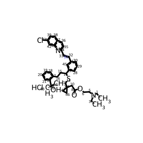 CCN(CC)CCOC(=O)CC1(CSC(CCc2ccccc2C(C)(C)O)c2cccc(/C=C/c3ccc4ccc(Cl)cc4n3)c2)CC1.Cl